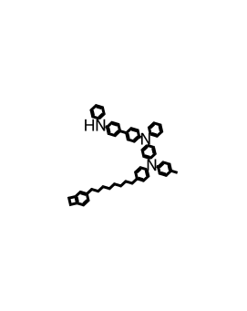 Cc1ccc(N(c2ccc(CCCCCCCCc3ccc4c(c3)CC4)cc2)c2ccc(N(c3ccccc3)c3ccc(-c4ccc(Nc5ccccc5)cc4)cc3)cc2)cc1